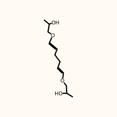 CC(O)COC=CCCC=COCC(C)O